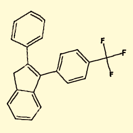 FC(F)(F)c1ccc(C2=C(c3ccccc3)Cc3ccccc32)cc1